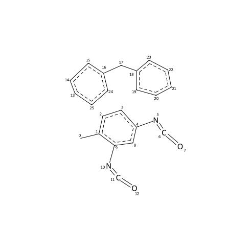 Cc1ccc(N=C=O)cc1N=C=O.c1ccc(Cc2ccccc2)cc1